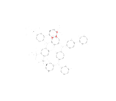 CC(C)(C)c1ccc(N2c3cc4c(cc3B3c5cc(N(c6ccccc6)c6ccccc6)ccc5N(c5ccc(-c6ccccc6)cc5)c5cc(C(C)(C)C)cc2c53)C(C)(C)CCC4(C)C)c(-c2ccccc2)c1